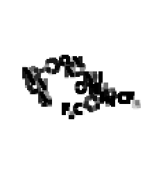 O=C(Nc1cnc(Oc2ccc(-c3cnn4ccc(N5CCC5)nc34)cc2)nc1)Nc1cc(C(F)(F)F)ccc1-n1ccc(C(F)(F)F)n1